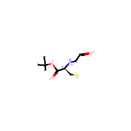 CC(C)(C)OC(=O)[C@H](CS)NCC=O